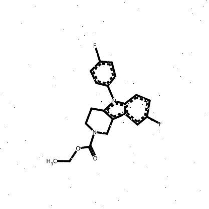 CCOC(=O)N1CCc2c(c3cc(F)ccc3n2-c2ccc(F)cc2)C1